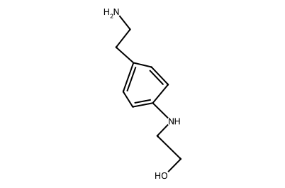 NCCc1ccc(NCCO)cc1